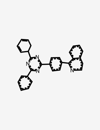 C1=CCC(c2nc(-c3ccccc3)nc(-c3ccc(-c4nccc5ccccc45)cc3)n2)C=C1